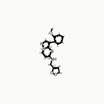 COc1ccccc1-c1cnn2ccc(NCC3=CCOO3)nc12